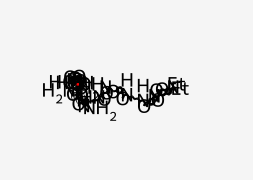 CCN(CC)c1ccc2cc(-c3nc4cc(C(=O)NCCCCCNC(=O)c5cccc(OCC(N)OCC(=O)NCC#Cc6cn([C@H]7C[C@@H](OCN)C(COP(=O)(O)OP(=O)(O)OP(=O)(O)O)O7)c(=O)nc6N)c5)ccc4o3)c(=O)oc2c1